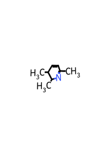 CC1=NC(C)C(C)C=C1